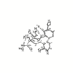 C[C@@](CCc1c(-c2ccc(Cl)c(F)c2F)cc[nH]c1=O)(C(=O)NO)S(C)(=O)=O